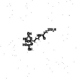 O=C(O)CCC(=O)NCCCC(O)(OP(O)O)OP(O)O